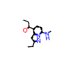 CCC(=O)c1ccc(NC)n2nc(CC)cc12